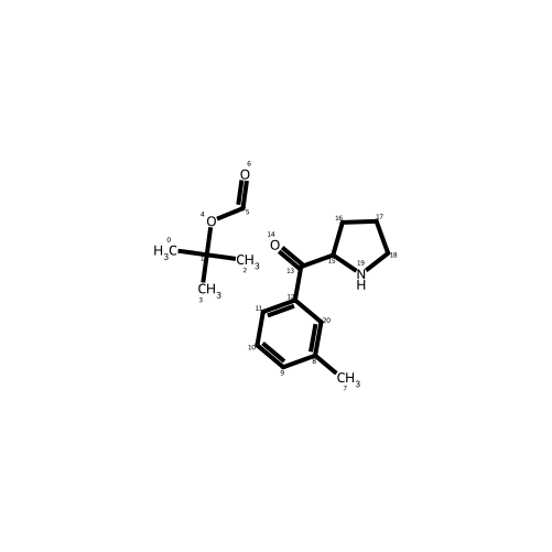 CC(C)(C)OC=O.Cc1cccc(C(=O)C2CCCN2)c1